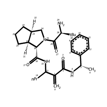 C=C(C(=O)N[C@@H](C)c1ccccc1)C(CCC)NC(=O)[C@@H]1[C@H]2CCC[C@H]2CN1C(=O)[C@@H](N)C(C)(C)C